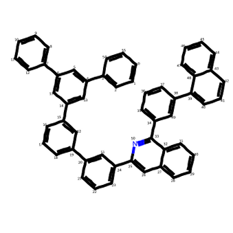 c1ccc(-c2cc(-c3ccccc3)cc(-c3cccc(-c4cccc(-c5cc6ccccc6c(-c6cccc(-c7cccc8ccccc78)c6)n5)c4)c3)c2)cc1